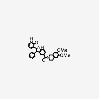 COc1cc2c(cc1OC)CN(C(=O)c1ccc3c(c1)C(c1ccccc1)C(c1ccc[nH]c1=O)N3)CC2